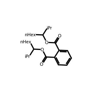 CCCCCCC(OC(=O)c1ccccc1C(=O)OC(CCCCCC)C(C)C)C(C)C